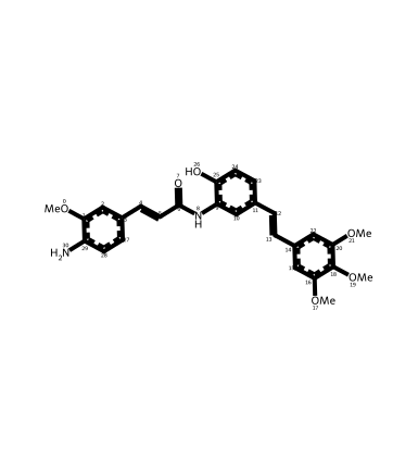 COc1cc(/C=C/C(=O)Nc2cc(C=Cc3cc(OC)c(OC)c(OC)c3)ccc2O)ccc1N